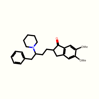 COc1cc2c(cc1OC)C(=O)C(CCC(Cc1ccccc1)N1CCCCC1)C2